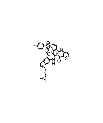 COc1cc2c(cc1Nc1nc3c(ccn3S(=O)(=O)c3ccc(C)cc3)c3nc4ccsc4c(=O)n13)N(CCCN(C)C)CC2